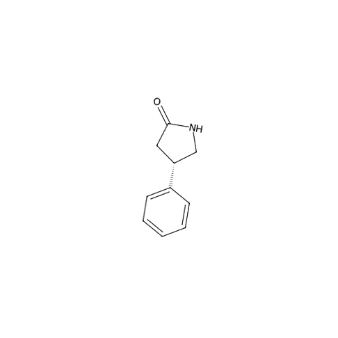 O=C1C[C@@H](c2ccccc2)CN1